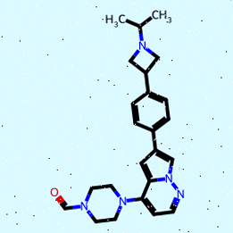 CC(C)N1CC(c2ccc(-c3cc4c(N5CCN(C=O)CC5)ccnn4c3)cc2)C1